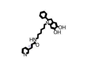 O=C(/C=C/c1cccnc1)NCCCCCCN1c2cc(O)c(O)cc2CC1c1ccccc1